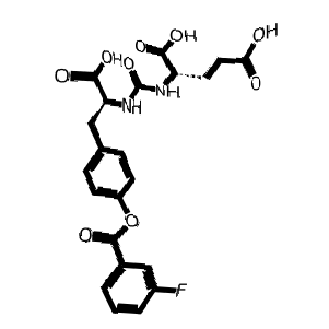 O=C(O)CC[C@H](NC(=O)N[C@@H](Cc1ccc(OC(=O)c2cccc(F)c2)cc1)C(=O)O)C(=O)O